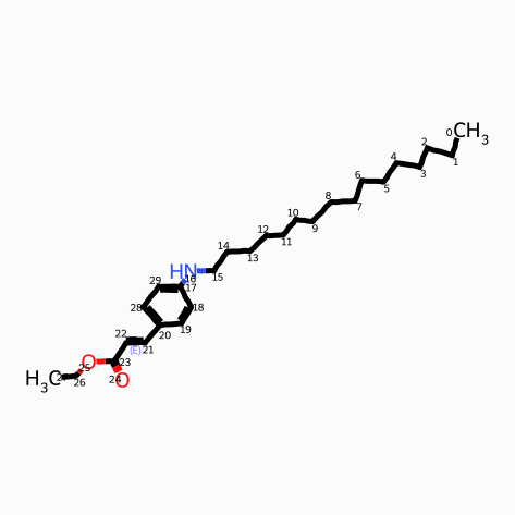 CCCCCCCCCCCCCCCCNc1ccc(/C=C/C(=O)OCC)cc1